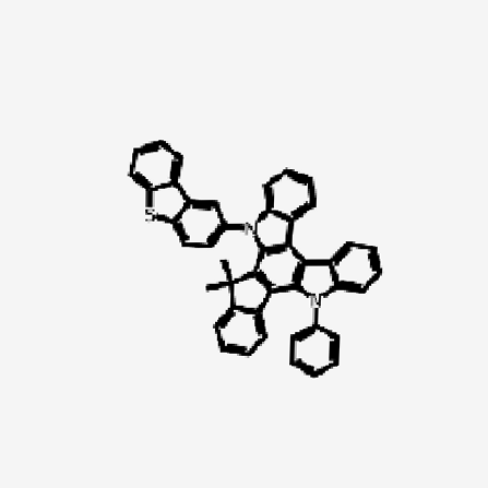 CC1(C)c2ccccc2-c2c1c1c(c3ccccc3n1-c1ccc3sc4ccccc4c3c1)c1c3ccccc3n(-c3ccccc3)c21